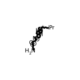 CC(C)CCC[C@@H](C)[C@H]1CC[C@H]2[C@@H]3CC=C4C[C@@H](OC(CCS(=O)(=O)OCCCN)N(C)C)CC[C@]4(C)[C@H]3CC[C@]12C